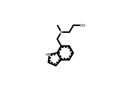 CN(CCO)Cc1cccc2cc[nH]c12